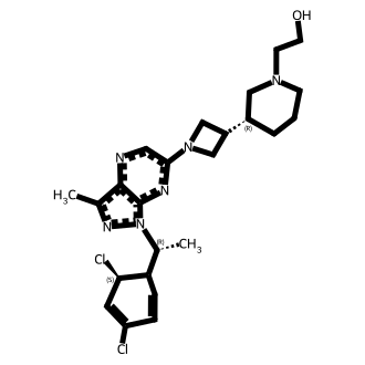 Cc1nn([C@H](C)C2C=CC(Cl)=C[C@H]2Cl)c2nc(N3CC([C@H]4CCCN(CCO)C4)C3)cnc12